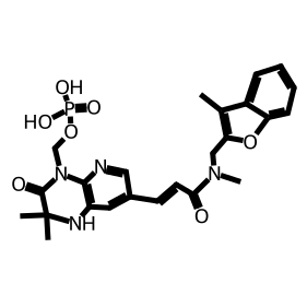 Cc1c(CN(C)C(=O)/C=C/c2cnc3c(c2)NC(C)(C)C(=O)N3COP(=O)(O)O)oc2ccccc12